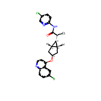 CCC(C(=O)Nc1ccc(Cl)cn1)[C@@H]1[C@@H]2C[C@@H](Oc3ccnc4ccc(F)cc34)C[C@@H]21